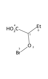 CCC(OBr)C(=O)O